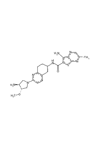 CO[C@H]1CN(c2ccc3c(n2)CCC(NC(=O)c2sc4nc(C)cnc4c2N)C3)C[C@@H]1N